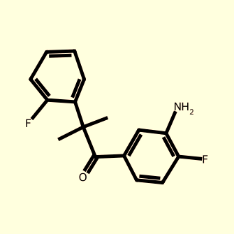 CC(C)(C(=O)c1ccc(F)c(N)c1)c1ccccc1F